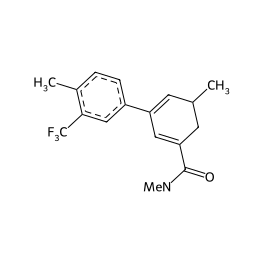 CNC(=O)C1=CC(c2ccc(C)c(C(F)(F)F)c2)=CC(C)C1